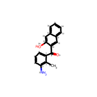 Cc1c(N)cccc1C(=O)c1cc2ccccc2cc1O